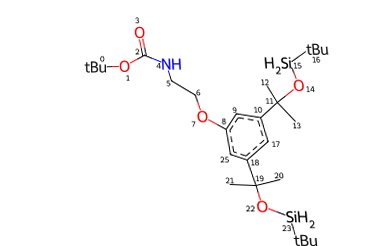 CC(C)(C)OC(=O)NCCOc1cc(C(C)(C)O[SiH2]C(C)(C)C)cc(C(C)(C)O[SiH2]C(C)(C)C)c1